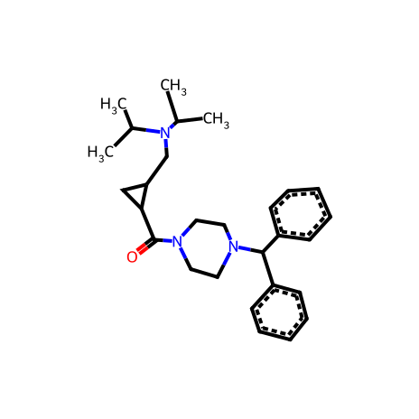 CC(C)N(CC1CC1C(=O)N1CCN(C(c2ccccc2)c2ccccc2)CC1)C(C)C